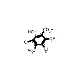 CC(=O)Oc1c(Cl)cc(C(=O)O)c(OC(C)=O)c1Cl.Cl